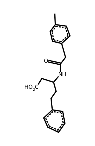 Cc1ccc(CC(=O)NC(CCc2ccccc2)CC(=O)O)cc1